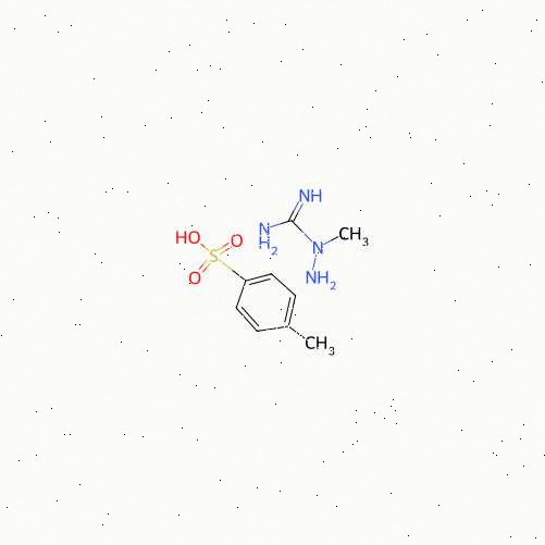 CN(N)C(=N)N.Cc1ccc(S(=O)(=O)O)cc1